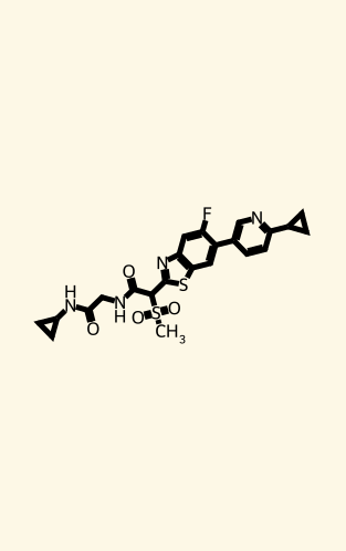 CS(=O)(=O)C(C(=O)NCC(=O)NC1CC1)c1nc2cc(F)c(-c3ccc(C4CC4)nc3)cc2s1